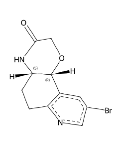 O=C1CO[C@@H]2c3cc(Br)cnc3CC[C@@H]2N1